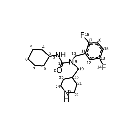 O=C(NC1CCCCC1)N(Cc1cc(F)ccc1F)CC1CCNCC1